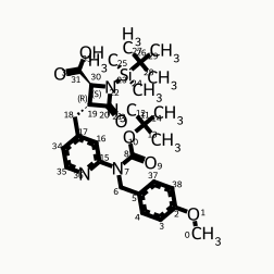 COc1ccc(CN(C(=O)OC(C)(C)C)c2cc(C[C@H]3C(=O)N([Si](C)(C)C(C)(C)C)[C@@H]3C(=O)O)ccn2)cc1